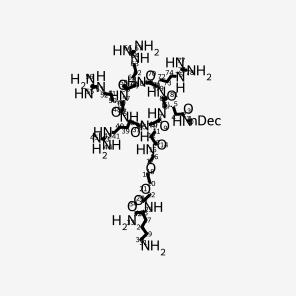 CCCCCCCCCCNC(=O)CC[C@@H]1NC(=O)[C@H](CCC(=O)NCCOCCOCC(=O)NC(CCCCN)C(N)=O)NC(=O)C(CCCNC(=N)N)NC(=O)[C@H](CCCNC(=N)N)NC(=O)[C@H](CCCNC(=N)N)NC(=O)[C@H](CCCNC(=N)N)NC1=O